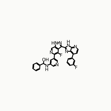 OC(Nc1cncc(-c2ncc3[nH]nc(-c4nc5c(-c6cccc(F)c6)ccnc5[nH]4)c3c2F)c1)c1ccccc1